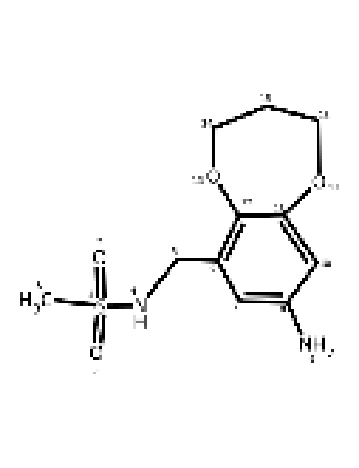 CS(=O)(=O)NCc1cc(N)cc2c1OCCCO2